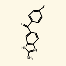 Nc1nc2ccc(C(=O)c3ccc(F)cc3)cc2[nH]1